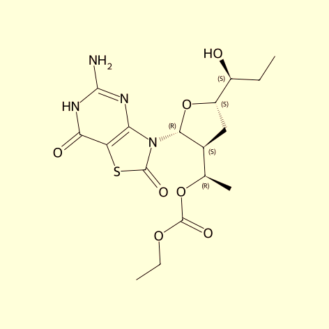 CCOC(=O)O[C@H](C)[C@@H]1C[C@@H]([C@@H](O)CC)O[C@H]1n1c(=O)sc2c(=O)[nH]c(N)nc21